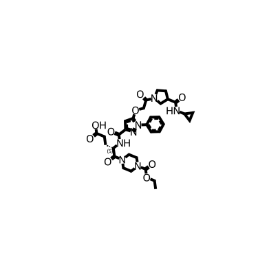 CCOC(=O)N1CCN(C(=O)[C@H](CCC(=O)O)NC(=O)c2cc(OCC(=O)N3CCC(C(=O)NC4CC4)C3)n(-c3ccccc3)n2)CC1